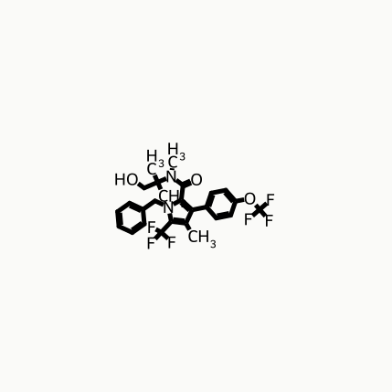 Cc1c(-c2ccc(OC(F)(F)F)cc2)c(C(=O)N(C)C(C)(C)CO)n(Cc2ccccc2)c1C(F)(F)F